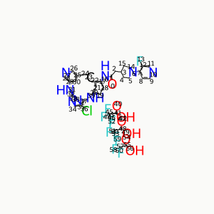 O=C(CC1CCN(c2ccncc2F)CC1)Nc1ccc2cc1CCc1cncc(c1)Nc1ncc(Cl)c(n1)N2.O=C(O)C(F)(F)F.O=C(O)C(F)(F)F.O=C(O)C(F)(F)F